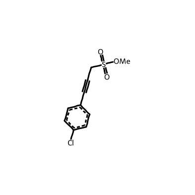 COS(=O)(=O)CC#Cc1ccc(Cl)cc1